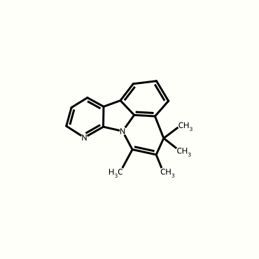 CC1=C(C)C(C)(C)c2cccc3c4cccnc4n1c23